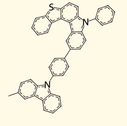 Cc1ccc2c(c1)c1ccccc1n2-c1ccc(-c2ccc3c(c2)c2c4c(ccc2n3-c2ccccc2)sc2ccccc24)cc1